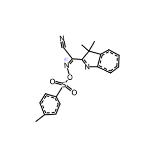 Cc1ccc(S(=O)(=O)O/N=C(/C#N)C2=Nc3ccccc3C2(C)C)cc1